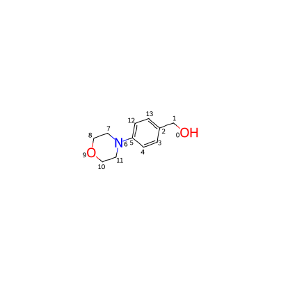 OCc1ccc(N2CCOCC2)cc1